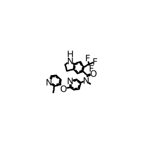 Cc1ncccc1Oc1ccc(N(C)C(=O)c2cc3c(cc2C(F)(F)F)NCC3)cn1